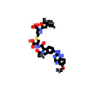 COc1ccc(NC(=NC#N)Nc2ccc3c(c2)CN(C(C)=O)C3C(=O)NC(CSCCC(NC(=O)CC(C)(C)C)C(=O)O)C(=O)O)cc1